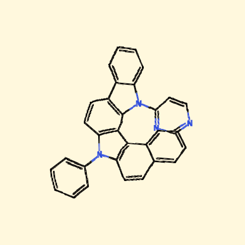 c1ccc(-n2c3ccc4ccccc4c3c3c2ccc2c4ccccc4n(-c4ccncn4)c23)cc1